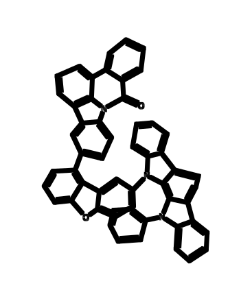 O=c1c2ccccc2c2cccc3c4cc(-c5cccc6oc7ccc(-n8c9ccccc9c9ccc%10c%11ccccc%11n(-c%11ccccc%11)c%10c98)cc7c56)ccc4n1c23